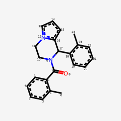 Cc1ccccc1C(=O)N1CCn2cccc2C1c1ccccc1C